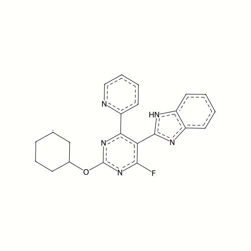 Fc1nc(OC2C[CH]CCC2)nc(-c2ccccn2)c1-c1nc2ccccc2[nH]1